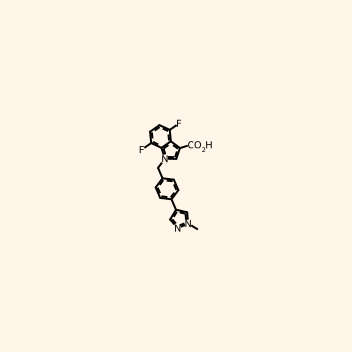 Cn1cc(-c2ccc(Cn3cc(C(=O)O)c4c(F)ccc(F)c43)cc2)cn1